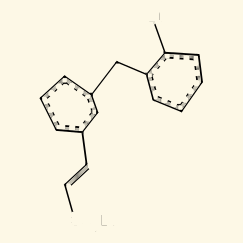 CCOC(=O)/C=C/c1cccc(Cc2ccccc2CC)c1